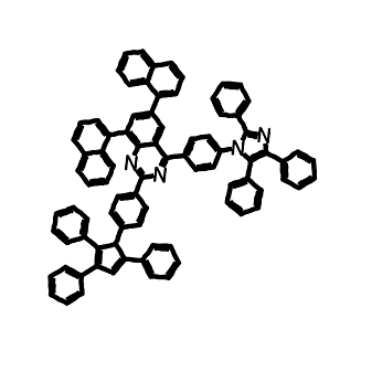 C1=C(c2ccccc2)C(c2ccc(-c3nc(-c4ccc(-n5c(-c6ccccc6)nc(-c6ccccc6)c5-c5ccccc5)cc4)c4cc(-c5cccc6ccccc56)cc(-c5cccc6ccccc56)c4n3)cc2)C(c2ccccc2)=C1c1ccccc1